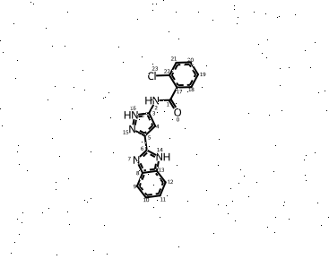 O=C(Nc1cc(-c2nc3ccccc3[nH]2)n[nH]1)c1ccccc1Cl